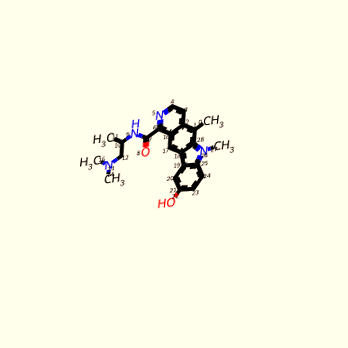 Cc1c2ccnc(C(=O)NC(C)CN(C)C)c2cc2c3cc(O)ccc3n(C)c12